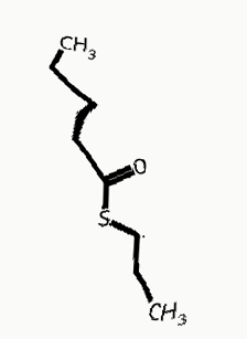 CC[CH]SC(=O)CCCC